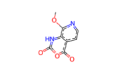 COc1nccc2c(=O)oc(=O)[nH]c12